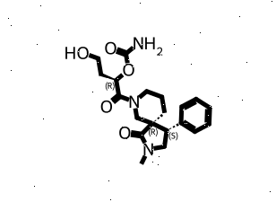 CN1C[C@@H](c2ccccc2)[C@@]2(CCCN(C(=O)[C@@H](CCO)OC(N)=O)C2)C1=O